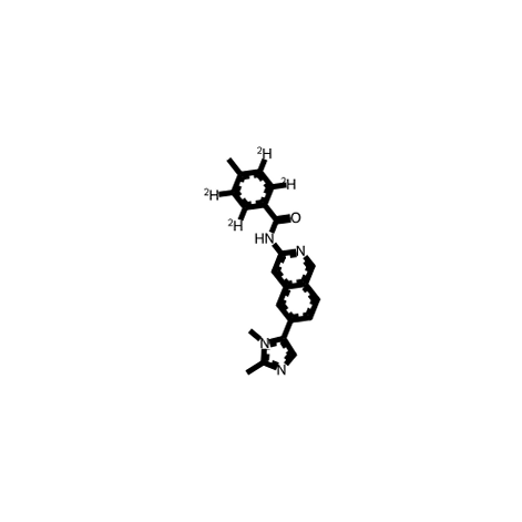 [2H]c1c([2H])c(C(=O)Nc2cc3cc(-c4cnc(C)n4C)ccc3cn2)c([2H])c([2H])c1C